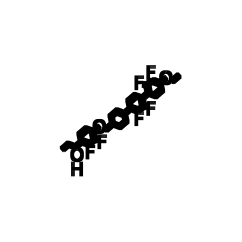 CCOc1ccc(-c2ccc(C3=CCC(COc4ccc(C(O)CC)c(F)c4F)CC3)c(F)c2F)c(F)c1F